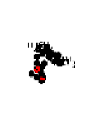 CC(C)(C)c1cccc2c1oc1c(-c3c4ccccc4cc4c3c3cccc5c6c(-c7ccc(-c8cccc(-c9ccc(-c%10ccccc%10)c(-c%10c%11ccccc%11cc%11c%10c%10cccc%12c%13c(-c%14cc(-c%15ccccc%15)ccc%14-c%14ccccc%14)c%14ccccc%14cc%13n%11c%12%10)c9)c8)c8c7oc7c(C(C)(C)C)cccc78)c7ccccc7cc6n4c35)cccc12